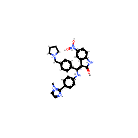 Cn1ccnc1-c1ccc(N/C(=C2\C(=O)Nc3ccc([N+](=O)[O-])cc32)c2ccc(CN3CCCC3)cc2)cc1